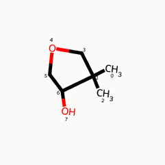 CC1(C)COCC1O